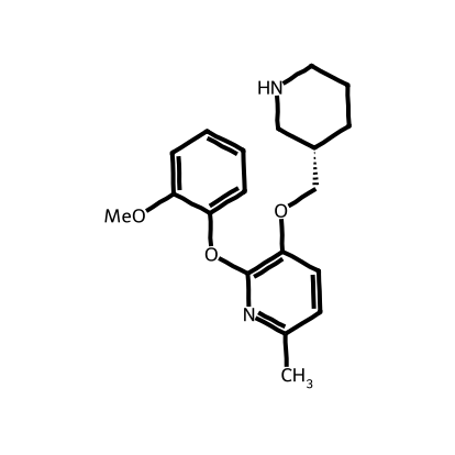 COc1ccccc1Oc1nc(C)ccc1OC[C@H]1CCCNC1